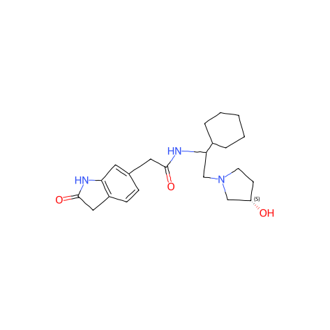 O=C1Cc2ccc(CC(=O)NC(CN3CC[C@H](O)C3)C3CCCCC3)cc2N1